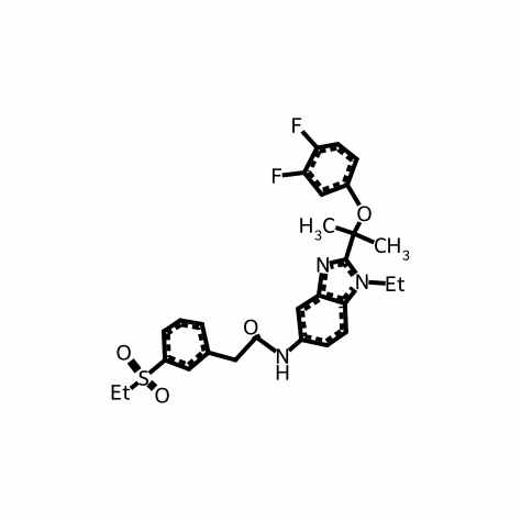 CCn1c(C(C)(C)Oc2ccc(F)c(F)c2)nc2cc(NC(=O)Cc3cccc(S(=O)(=O)CC)c3)ccc21